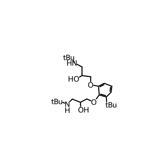 CC(C)(C)NCC(O)COc1cccc(C(C)(C)C)c1OCC(O)CNC(C)(C)C